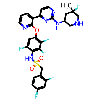 C[C@@]1(F)CNC[C@@H](Nc2nccc(-c3cccnc3Oc3cc(F)c(NS(=O)(=O)Cc4ccc(F)cc4F)c(F)c3F)n2)C1